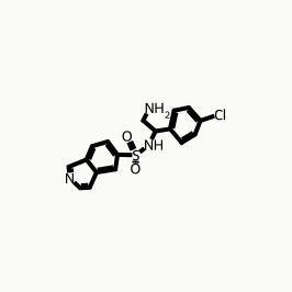 NCC(NS(=O)(=O)c1ccc2cnccc2c1)c1ccc(Cl)cc1